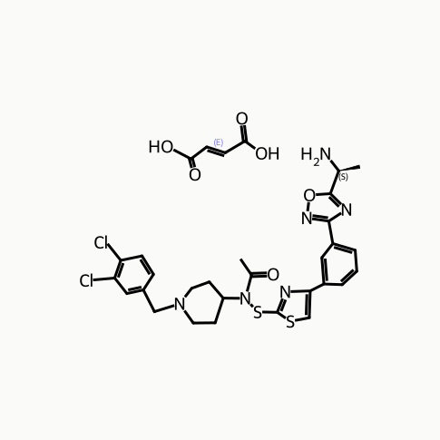 CC(=O)N(Sc1nc(-c2cccc(-c3noc([C@H](C)N)n3)c2)cs1)C1CCN(Cc2ccc(Cl)c(Cl)c2)CC1.O=C(O)/C=C/C(=O)O